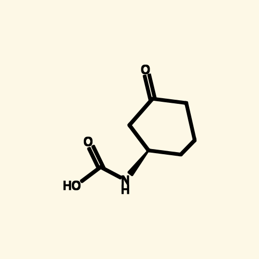 O=C1CCC[C@@H](NC(=O)O)C1